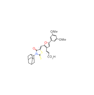 COc1cc(OC)cc(-c2cc(/C=C/C(=O)O)c(/C=C3\SC(=S)N(C4C5CC6CC(C5)CC4C6)C3=O)o2)c1